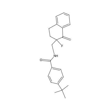 C=C1c2ccccc2CCC1(F)CNC(=O)c1ccc(C(C)(C)C)cc1